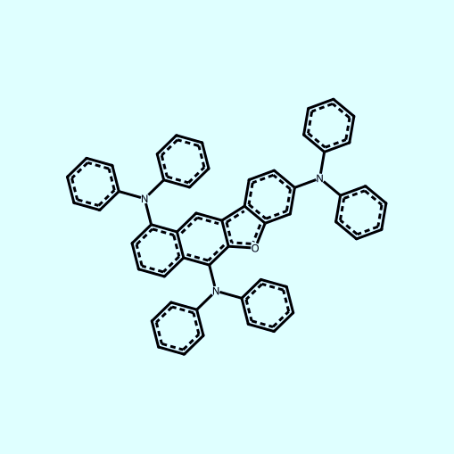 c1ccc(N(c2ccccc2)c2ccc3c(c2)oc2c(N(c4ccccc4)c4ccccc4)c4cccc(N(c5ccccc5)c5ccccc5)c4cc23)cc1